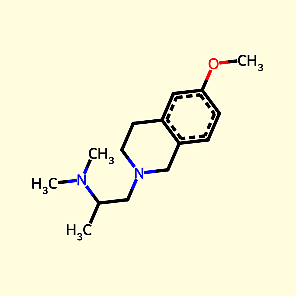 COc1ccc2c(c1)CCN(CC(C)N(C)C)C2